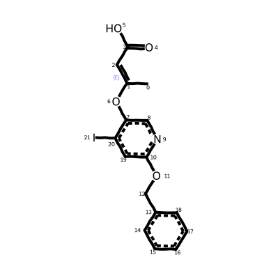 C/C(=C\C(=O)O)Oc1cnc(OCc2ccccc2)cc1I